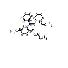 CCN1CCCCC1/C=C(\c1ccccc1)c1cc(C)ccc1OCOC